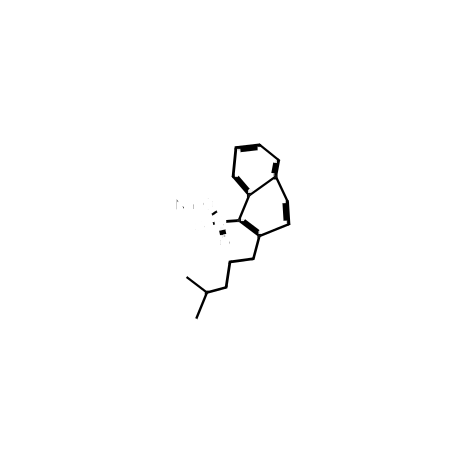 CC(C)CCCc1ccc2ccccc2c1S(=O)(=O)[O-].[Na+]